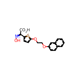 O=C(O)/C(=N/O)c1ccc(OCCOc2ccc3ccccc3c2)s1